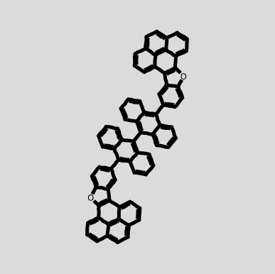 c1ccc2c(-c3c4ccccc4c(-c4ccc5oc6c7cccc8ccc9cccc(c6c5c4)c9c87)c4ccccc34)c3ccccc3c(-c3ccc4oc5c6cccc7ccc8cccc(c5c4c3)c8c76)c2c1